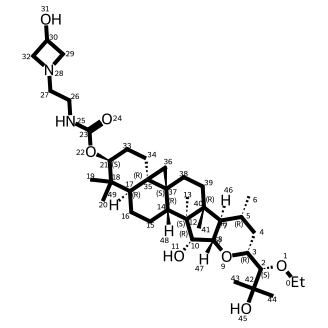 CCO[C@@H]([C@H]1C[C@@H](C)[C@H]2[C@H](O1)[C@H](O)[C@@]1(C)[C@@H]3CC[C@H]4C(C)(C)[C@@H](OC(=O)NCCN5CC(O)C5)CC[C@@]45C[C@@]35CC[C@]21C)C(C)(C)O